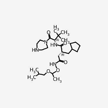 CC(C)COC(C)ONC(=O)C[C@@H](CC1CCCC1)C(=O)N[C@H](C(=O)N1CCNCC1)C(C)(C)C